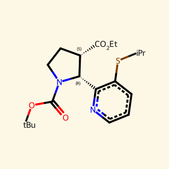 CCOC(=O)[C@H]1CCN(C(=O)OC(C)(C)C)[C@H]1c1ncccc1SC(C)C